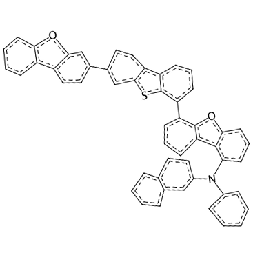 c1ccc(N(c2ccc3ccccc3c2)c2cccc3oc4c(-c5cccc6c5sc5cc(-c7ccc8c(c7)oc7ccccc78)ccc56)cccc4c23)cc1